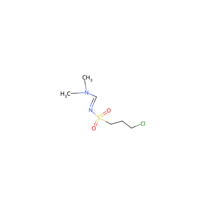 CN(C)/C=N/S(=O)(=O)CCCCl